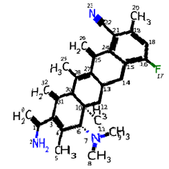 C=C(N)C1=C(C)[C@@H](N(C)C)[C@]2(C)CC3Cc4c(F)cc(C)c(C#N)c4C(=C)C3=C(C)C2C1=C